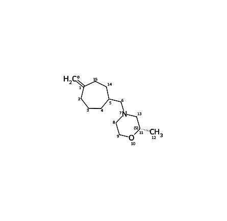 C=C1CCCC(CN2CCO[C@@H](C)C2)CC1